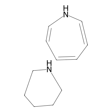 C1=CC=CNC=C1.C1CCNCC1